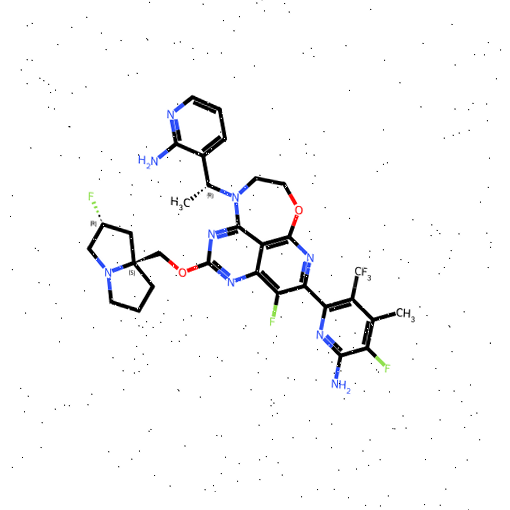 Cc1c(F)c(N)nc(-c2nc3c4c(nc(OC[C@@]56CCCN5C[C@H](F)C6)nc4c2F)N([C@H](C)c2cccnc2N)CCO3)c1C(F)(F)F